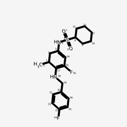 CC1CC(NS(=O)(=O)C2CCCCC2)=CC(F)=C1NCc1ccc(F)cc1